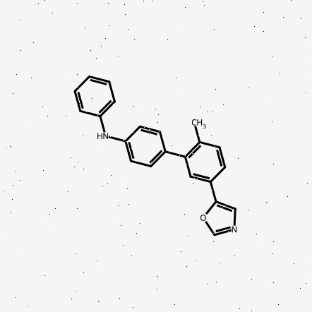 Cc1ccc(-c2cnco2)cc1-c1ccc(Nc2ccccc2)cc1